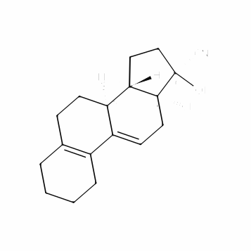 C[C@]12CC=C3C4=C(CCCC4)CC[C@H]3[C@@H]1CC[C@]2(O)C#N